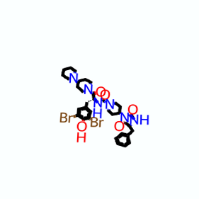 O=C(N[C@H](Cc1cc(Br)c(O)c(Br)c1)C(=O)N1CCC(N2CCCCC2)CC1)N1CCC(N2C(=O)NC(Cc3ccccc3)C2=O)CC1